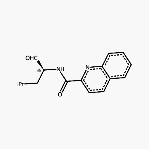 CC(C)C[C@@H]([C]=O)NC(=O)c1ccc2ccccc2n1